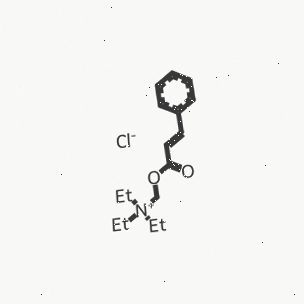 CC[N+](CC)(CC)COC(=O)/C=C/c1ccccc1.[Cl-]